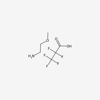 COCCN.O=C(O)C(F)(F)C(F)(F)F